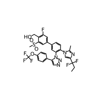 CCC(F)(F)c1cn(-c2ccc(-c3cc(F)c(CO)c(S(C)(=O)=O)c3)cc2-n2nncc2-c2ccc(OC(F)(F)F)cc2)c(C)n1